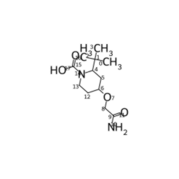 CC(C)(C)C1CC(OCC(N)=O)CCN1C(=O)O